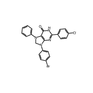 O=c1[nH]c(-c2ccc(Cl)cc2)nc2c1N(c1ccccc1)CN2c1ccc(Br)cc1